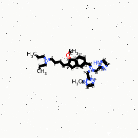 CCCN(CCC)CCCCC1Cc2cc(CN(Cc3ncc[nH]3)Cc3nccn3C)ccc2C1OC